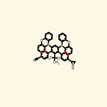 CC(C)(C)c1c(-c2ccc(C#N)cc2)c(N2c3ccccc3Oc3ccccc32)cc(N2c3ccccc3Oc3ccccc32)c1-c1ccc(C2CN2)cc1